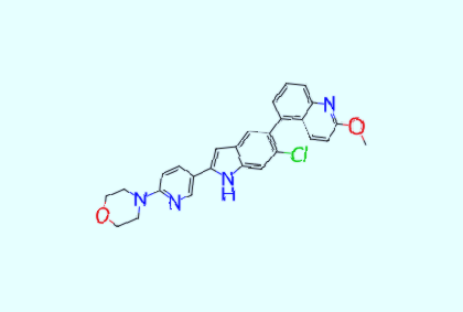 COc1ccc2c(-c3cc4cc(-c5ccc(N6CCOCC6)nc5)[nH]c4cc3Cl)cccc2n1